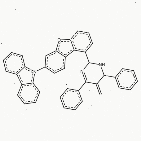 C=C1C(c2ccccc2)=NC(c2cccc3oc4cc(-n5c6ccccc6c6ccccc65)ccc4c23)NC1c1ccccc1